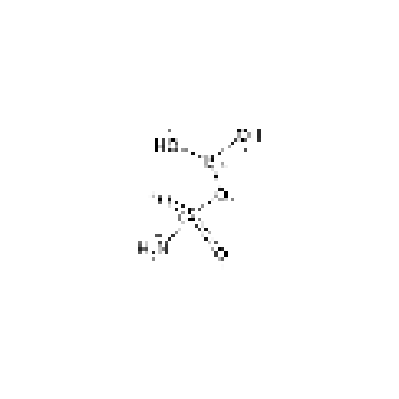 NS(=O)(=O)OB(O)O